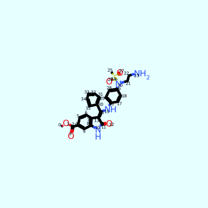 COC(=O)c1ccc2c(c1)NC(=O)/C2=C(\Nc1ccc(N(CCN)S(C)(=O)=O)cc1)c1ccccc1